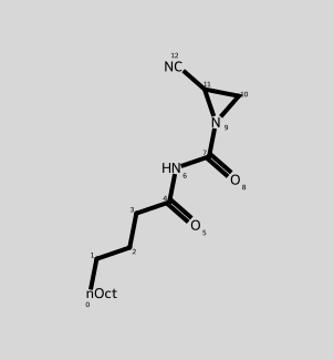 CCCCCCCCCCCC(=O)NC(=O)N1CC1C#N